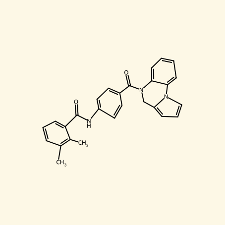 Cc1cccc(C(=O)Nc2ccc(C(=O)N3Cc4cccn4-c4ccccc43)cc2)c1C